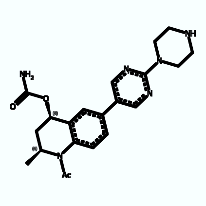 CC(=O)N1c2ccc(-c3cnc(N4CCNCC4)nc3)cc2[C@H](OC(N)=O)C[C@@H]1C